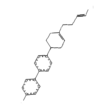 C/C=C/CCC1=CCC(c2ccc(-c3ccc(C)cc3)cc2)CC1